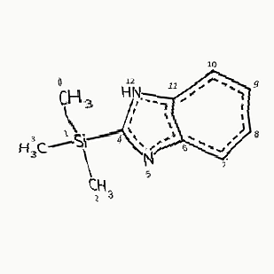 C[Si](C)(C)c1nc2[c]cccc2[nH]1